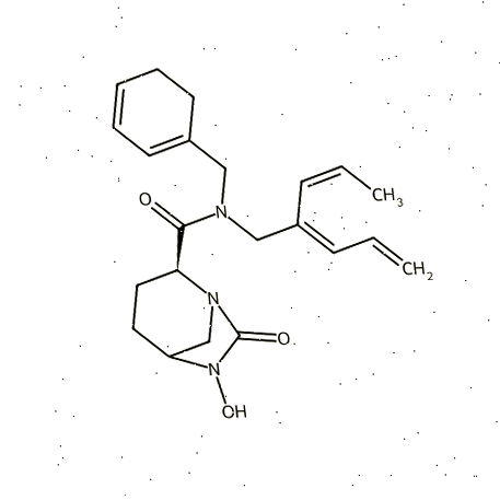 C=C/C=C(\C=C/C)CN(CC1=CC=CCC1)C(=O)[C@@H]1CCC2CN1C(=O)N2O